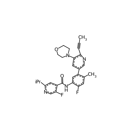 CC#Cc1ncc(-c2cc(NC(=O)c3cc(C(C)C)ncc3F)c(F)cc2C)cc1N1CCOCC1